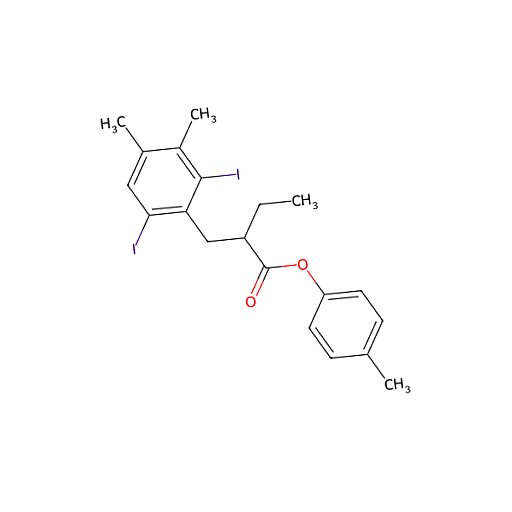 CCC(Cc1c(I)cc(C)c(C)c1I)C(=O)Oc1ccc(C)cc1